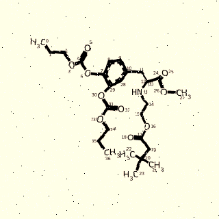 CCCOC(=O)Oc1ccc(C[C@H](NCCOC(=O)CC(C)(C)C)C(=O)OC)cc1OC(=O)OCCC